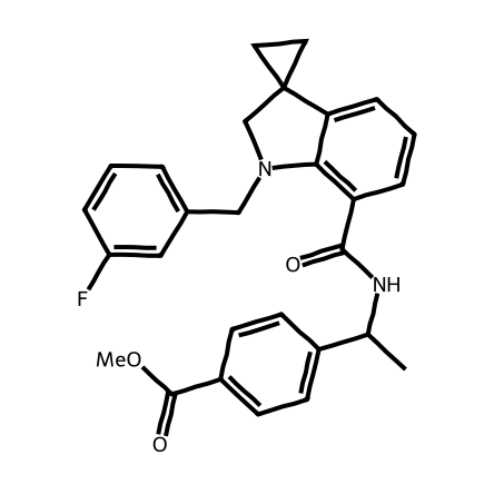 COC(=O)c1ccc(C(C)NC(=O)c2cccc3c2N(Cc2cccc(F)c2)CC32CC2)cc1